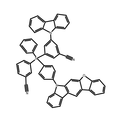 N#Cc1cccc([Si](c2ccccc2)(c2ccc(-n3c4ccccc4c4cc5c(cc43)oc3ccccc35)cc2)c2cc(C#N)cc(-n3c4ccccc4c4ccccc43)c2)c1